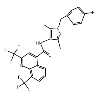 Cc1nn(Cc2ccc(F)cc2)c(C)c1NC(=O)c1cc(C(F)(F)F)nc2c(C(F)(F)F)cccc12